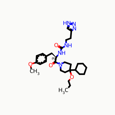 CCCOC1(C2CCCCC2)CCN(C(=O)[C@@H](Cc2ccc(OC)cc2)NC(=O)NCCc2c[nH]nn2)CC1